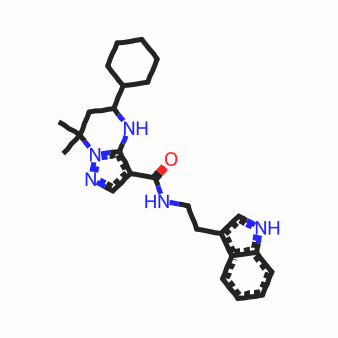 CC1(C)CC(C2CCCCC2)Nc2c(C(=O)NCCc3c[nH]c4ccccc34)cnn21